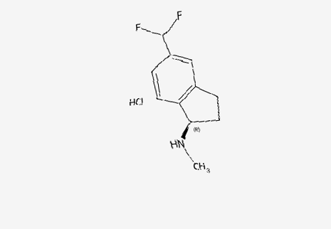 CN[C@@H]1CCc2cc(C(F)F)ccc21.Cl